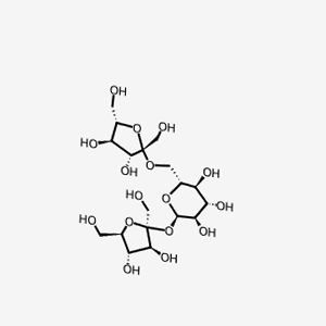 OC[C@@H]1O[C@](CO)(OC[C@H]2O[C@H](O[C@]3(CO)O[C@H](CO)[C@@H](O)[C@@H]3O)[C@H](O)[C@@H](O)[C@@H]2O)[C@H](O)[C@H]1O